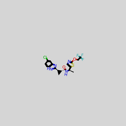 C[C@@H](NC(=O)[C@@H]1C[C@H]1c1nc2cc(Cl)ccc2[nH]1)c1cnc(OCC(F)(F)F)s1